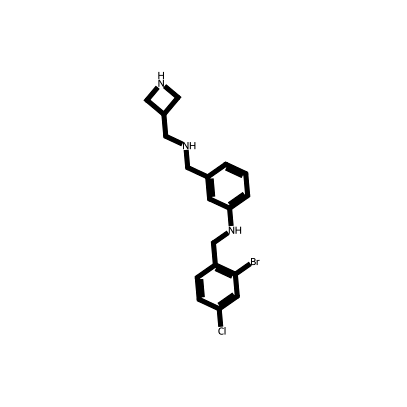 Clc1ccc(CNc2cccc(CNCC3CNC3)c2)c(Br)c1